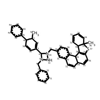 CC1C=C(C2N(Cc3ccccc3)NN2Cc2ccc3c(c2)C=CC2C=CC4=C(C32)C2C=CC=CC2(C)S4)C=CC1c1ccccc1